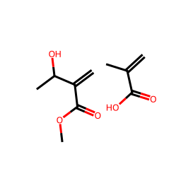 C=C(C(=O)OC)C(C)O.C=C(C)C(=O)O